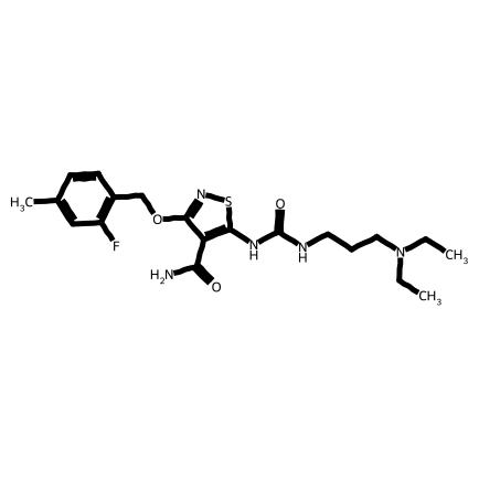 CCN(CC)CCCNC(=O)Nc1snc(OCc2ccc(C)cc2F)c1C(N)=O